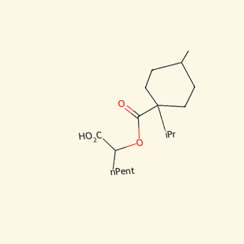 CCCCCC(OC(=O)C1(C(C)C)CCC(C)CC1)C(=O)O